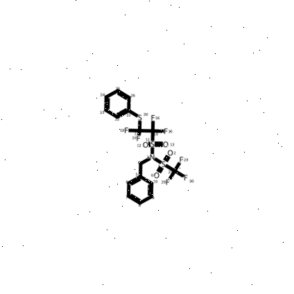 O=S(=O)(N(Cc1ccccc1)S(=O)(=O)C(F)(F)C(F)(F)Sc1ccccc1)C(F)(F)F